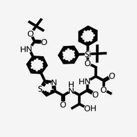 COC(=O)C(CO[Si](c1ccccc1)(c1ccccc1)C(C)(C)C)NC(=O)C(NC(=O)c1csc(-c2ccc(NC(=O)OC(C)(C)C)cc2)n1)C(C)O